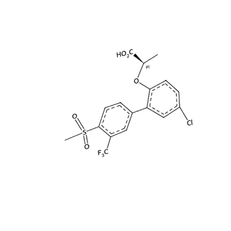 C[C@@H](Oc1ccc(Cl)cc1-c1ccc(S(C)(=O)=O)c(C(F)(F)F)c1)C(=O)O